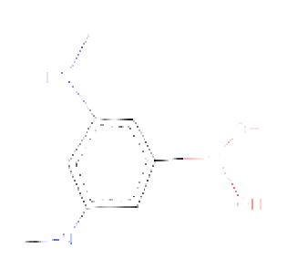 CNc1cc(NC)cc(B(O)O)c1